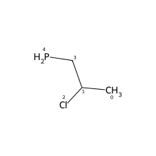 CC(Cl)CP